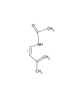 C=C(C)/C=C\NC(C)=O